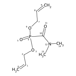 C=CCOP(=O)(OCC=C)C(=O)N(C)C